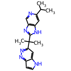 CC(C)c1cc2[nH]c(C(C)(C)c3cc4[nH]ccc4nn3)nc2cn1